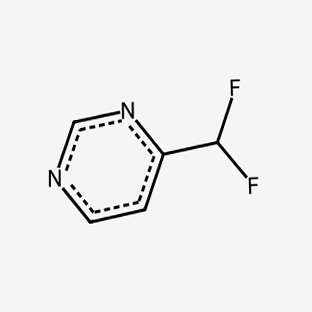 FC(F)c1ccncn1